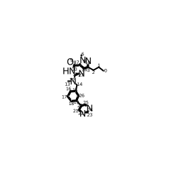 CCCc1nn(C)c2c(=O)[nH]c(N(C)Cc3cccc(-c4cncnc4)c3)nc12